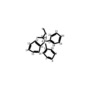 CCC(C)[PH](c1ccccc1)(c1ccccc1)c1ccccc1